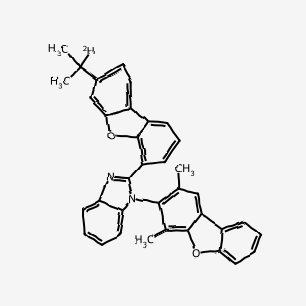 [2H]C(C)(C)c1ccc2c(c1)oc1c(-c3nc4ccccc4n3-c3c(C)cc4c(oc5ccccc54)c3C)cccc12